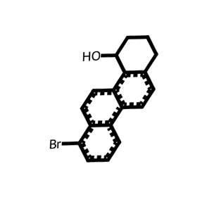 OC1CCCc2ccc3c(ccc4c(Br)cccc43)c21